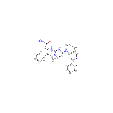 NC(=O)CC(Nc1nccc(N2CCCc3cnc(-c4ccccc4)cc32)n1)C(c1ccccc1)C1CC1